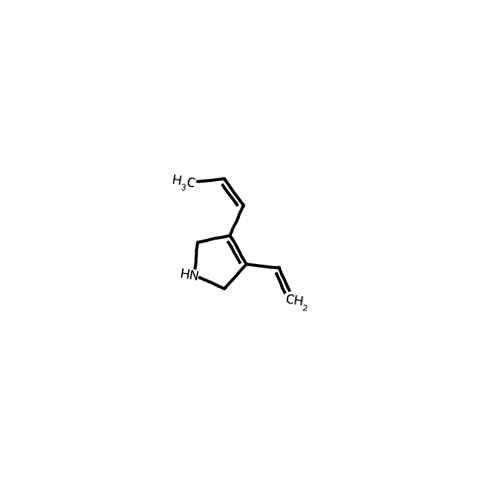 C=CC1=C(/C=C\C)CNC1